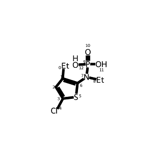 CCc1cc(Cl)sc1N(CC)P(=O)(O)O